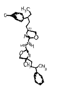 CCC(CC[C@H]1COC(NNC2=NC(C)(CCC(C)c3ccccc3)CO2)=N1)c1ccc(Cl)cc1